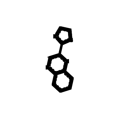 [c]1nc2ccccc2nc1-c1nccs1